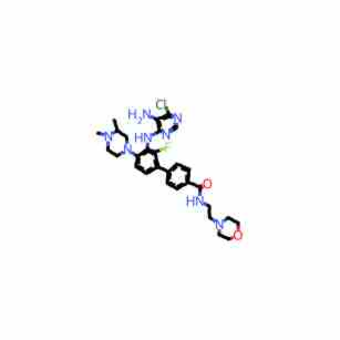 CC1CN(c2ccc(-c3ccc(C(=O)NCCN4CCOCC4)cc3)c(F)c2Nc2ncnc(Cl)c2N)CCN1C